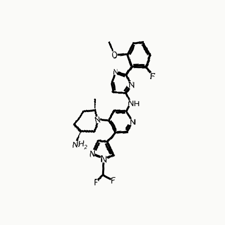 COc1cccc(F)c1-c1nccc(Nc2cc(N3C[C@@H](N)CC[C@H]3C)c(-c3cnn(C(F)F)c3)cn2)n1